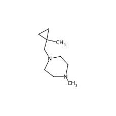 CN1CCN(CC2(C)CC2)CC1